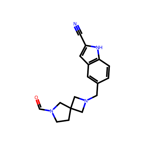 N#Cc1cc2cc(CN3CC4(CCN(C=O)C4)C3)ccc2[nH]1